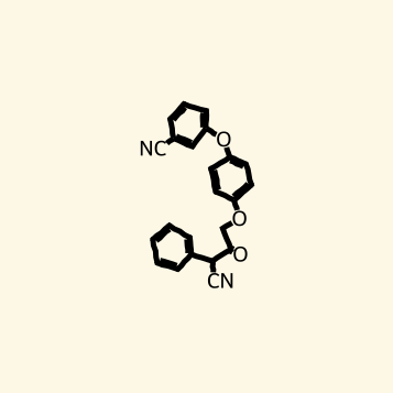 N#Cc1cccc(Oc2ccc(OCC(=O)C(C#N)c3ccccc3)cc2)c1